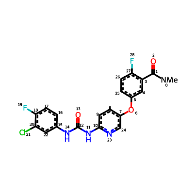 CNC(=O)c1cc(Oc2ccc(NC(=O)Nc3ccc(F)c(Cl)c3)nc2)ccc1F